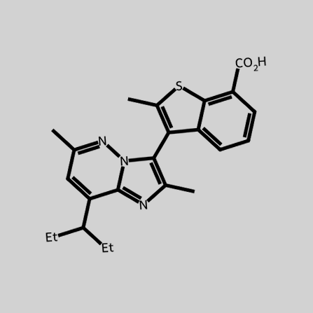 CCC(CC)c1cc(C)nn2c(-c3c(C)sc4c(C(=O)O)cccc34)c(C)nc12